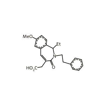 CCC1c2ccc(OC)cc2C=C(CC(=O)O)C(=O)N1CCc1ccccc1